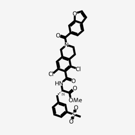 COC(=O)[C@H](Cc1cccc(S(C)(=O)=O)c1)NC(=O)c1c(Cl)cc2c(c1Cl)CCN(C(=O)c1ccc3ccoc3c1)C2